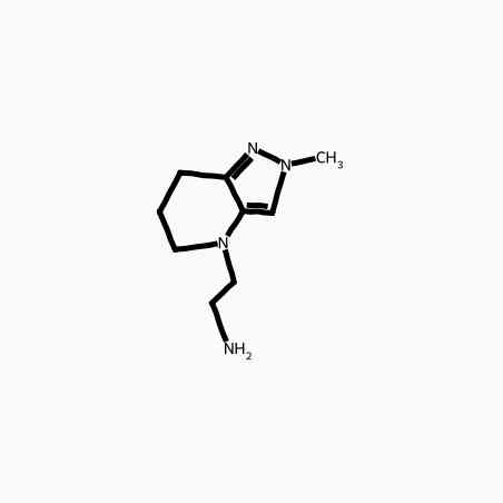 Cn1cc2c(n1)CCCN2CCN